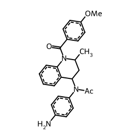 COc1ccc(C(=O)N2c3ccccc3C(N(C(C)=O)c3ccc(N)cc3)CC2C)cc1